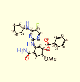 COc1cc(C(N)=O)c(Nc2ncc(F)c(NC3CCCCC3)n2)cc1OC(=O)c1ccccc1